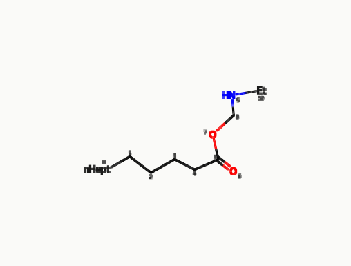 CCCCCCCCCCCC(=O)OCNCC